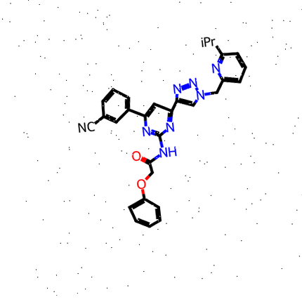 CC(C)c1cccc(Cn2cc(-c3cc(-c4cccc(C#N)c4)nc(NC(=O)COc4ccccc4)n3)nn2)n1